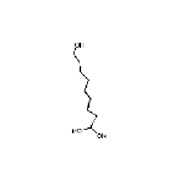 OCCCCCCCCC(O)O